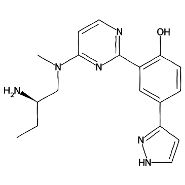 CC[C@@H](N)CN(C)c1ccnc(-c2cc(-c3cc[nH]n3)ccc2O)n1